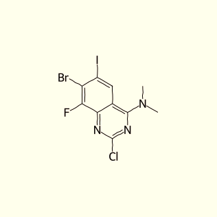 CN(C)c1nc(Cl)nc2c(F)c(Br)c(I)cc12